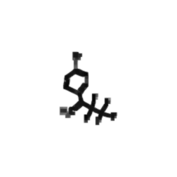 C=C(c1ccc(Br)cc1)C(F)(F)C(F)(F)F